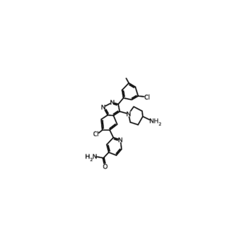 Cc1cc(Cl)cc(-c2nnc3cc(Cl)c(-c4cc(C(N)=O)ccn4)cc3c2N2CCC(N)CC2)c1